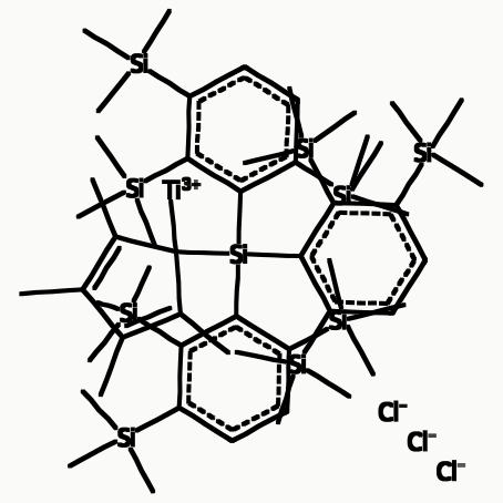 CC1=C(C)[C]([Ti+3])([Si](c2c([Si](C)(C)C)ccc([Si](C)(C)C)c2[Si](C)(C)C)(c2c([Si](C)(C)C)ccc([Si](C)(C)C)c2[Si](C)(C)C)c2c([Si](C)(C)C)ccc([Si](C)(C)C)c2[Si](C)(C)C)C(C)=C1C.[Cl-].[Cl-].[Cl-]